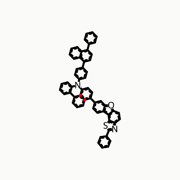 c1ccc(-c2nc3ccc4oc5cc(-c6ccc(N(c7ccc(-c8ccc(-c9ccccc9)c9ccccc89)cc7)c7ccccc7-c7ccccc7)cc6)ccc5c4c3s2)cc1